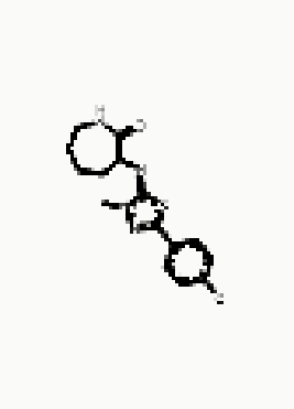 Cn1nc(-c2ccc(Cl)cc2)sc1=NC1CCCCNC1=O